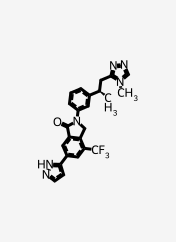 C[C@H](Cc1nncn1C)c1cccc(N2Cc3c(cc(-c4ccn[nH]4)cc3C(F)(F)F)C2=O)c1